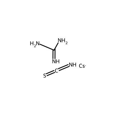 N=C(N)N.N=C=S.[Cs]